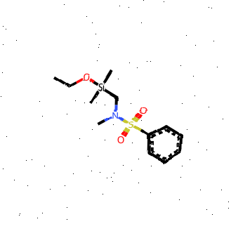 CCO[Si](C)(C)CN(C)S(=O)(=O)c1ccccc1